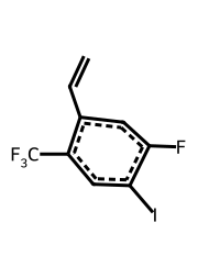 C=Cc1cc(F)c(I)cc1C(F)(F)F